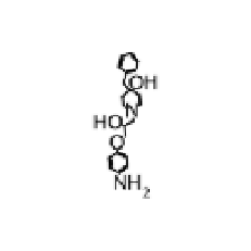 Nc1ccc(OCC(O)CN2CCC(O)(Cc3ccccc3)CC2)cc1